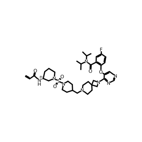 C=CC(=O)N[C@@H]1CCCN(S(=O)(=O)N2CCC(CN3CCC4(CC3)CN(c3ncncc3Oc3ccc(F)cc3C(=O)N(C(C)C)C(C)C)C4)CC2)C1